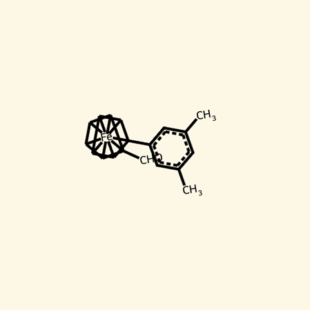 Cc1cc(C)cc([C]23[CH]4[CH]5[CH]6[CH]2[Fe]56432789[CH]3[CH]2[CH]7[C]8(C=O)[CH]39)c1